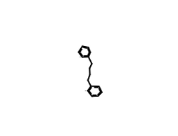 [c]1ccccc1CCCCc1[c]cccc1